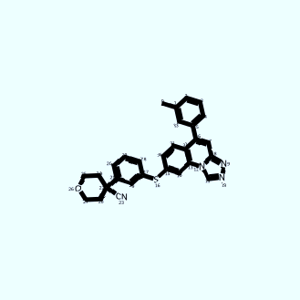 Cc1cccc(-c2cc3nncn3c3cc(Sc4cccc(C5(C#N)CCOCC5)c4)ccc23)c1